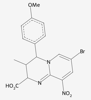 COc1ccc(C2C(C)C(C(=O)O)N=C3C([N+](=O)[O-])=CC(Br)=CN32)cc1